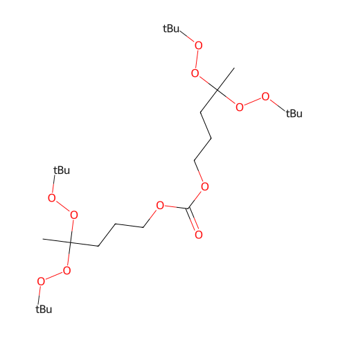 CC(C)(C)OOC(C)(CCCOC(=O)OCCCC(C)(OOC(C)(C)C)OOC(C)(C)C)OOC(C)(C)C